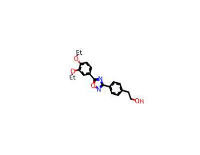 CCOc1ccc(-c2nc(-c3ccc(CCO)cc3)no2)cc1OCC